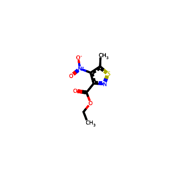 CCOC(=O)c1nsc(C)c1[N+](=O)[O-]